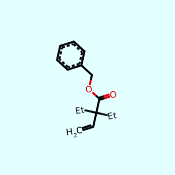 C=CC(CC)(CC)C(=O)OCc1ccccc1